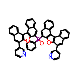 O=P(c1ccccc1)(c1cc2ccccc2c2c1oc1c(-c3cccnc3)cc3ccccc3c12)c1cc2ccccc2c2c1oc1c(-c3cccnc3)cc3ccccc3c12